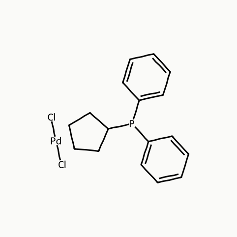 [Cl][Pd][Cl].c1ccc(P(c2ccccc2)C2CCCC2)cc1